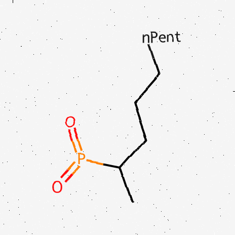 CCCCCCCCC(C)P(=O)=O